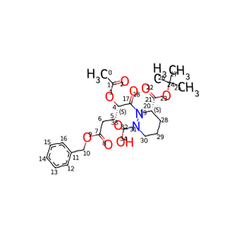 CC(=O)O[C@@H](CCC(=O)OCc1ccccc1)C(=O)N1[C@H](C(=O)OC(C)(C)C)CCCN1C(=O)O